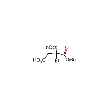 CCCCCCCCC(CC)(CC(=O)O)C(=O)OCC(C)C